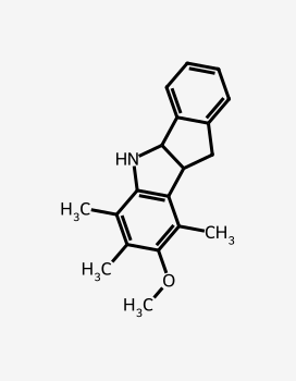 COc1c(C)c(C)c2c(c1C)C1Cc3ccccc3C1N2